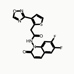 O=C(Cc1sccc1-c1ncon1)Nn1c(=O)ccc2cc(F)c(F)cc21